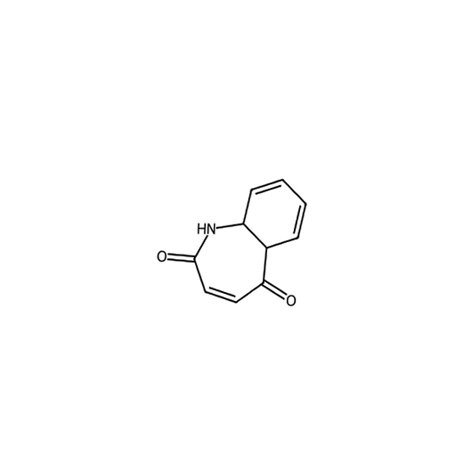 O=C1C=CC(=O)C2C=CC=CC2N1